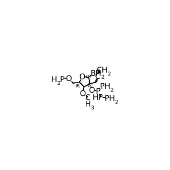 B[C@@H]1O[C@H](COP)C(OC)[C@@]1(C=C=C)OP(P)PP